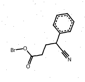 N#CC(CCC(=O)OBr)c1ccccc1